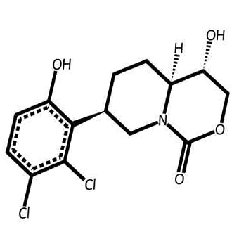 O=C1OC[C@@H](O)[C@@H]2CC[C@H](c3c(O)ccc(Cl)c3Cl)CN12